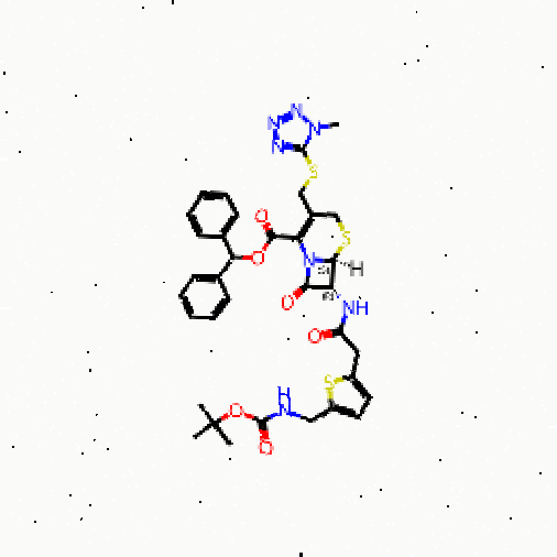 Cn1nnnc1SCC1=C(C(=O)OC(c2ccccc2)c2ccccc2)N2C(=O)[C@@H](NC(=O)Cc3ccc(CNC(=O)OC(C)(C)C)s3)[C@@H]2SC1